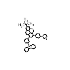 CC(C)(C)c1cc2c3c(ccc4c(-c5cccc(N6c7ccccc7C7C=CC=CC76)c5)cc(-c5ccc(C6C=NC=CC6)cc5)c(c43)CC2)c1